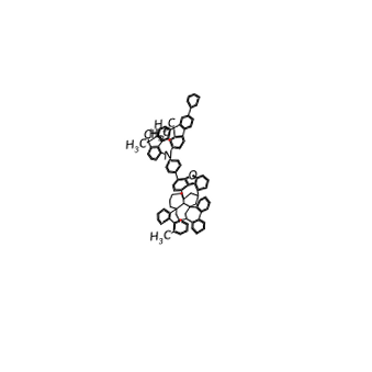 Cc1ccccc1-c1ccccc1C12CCCCC34CC(CC5(CC(CC1)c1ccccc1-c1ccccc15)C23)c1cccc2oc3c(-c5ccc(N(c6ccc7c(c6)C(C)(C)c6cc(-c8ccccc8)ccc6-7)c6cccc7c6-c6ccccc6C7(C)C)cc5)ccc4c3c12